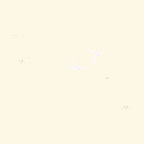 COc1ccc(-c2[nH]c(-c3ccc(OC)c(OC)c3)c[n+]2C)cc1